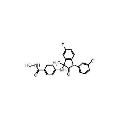 CC1(Nc2ccc(C(=O)NO)cc2)C(=O)N(c2cccc(Cl)c2)c2ccc(F)cc21